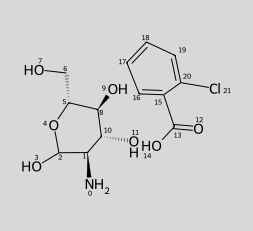 N[C@H]1C(O)O[C@H](CO)[C@@H](O)[C@@H]1O.O=C(O)c1ccccc1Cl